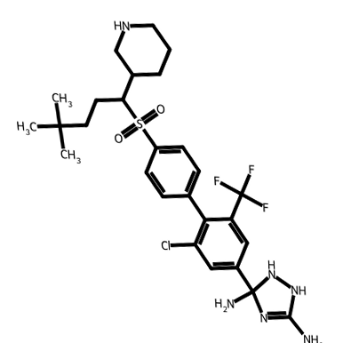 CC(C)(C)CCC(C1CCCNC1)S(=O)(=O)c1ccc(-c2c(Cl)cc(C3(N)N=C(N)NN3)cc2C(F)(F)F)cc1